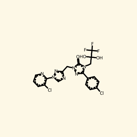 O=c1n(Cc2ncn(-c3ncccc3Cl)n2)nc(-c2ccc(Cl)cc2)n1CC(O)(O)C(F)(F)F